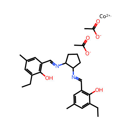 CC(=O)[O-].CC(=O)[O-].CCc1cc(C)cc(C=NC2CCCC2N=Cc2cc(C)cc(CC)c2O)c1O.[Co+2]